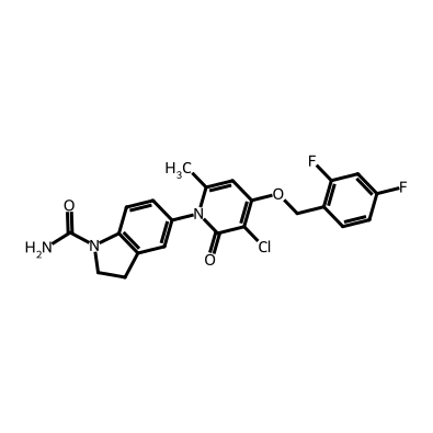 Cc1cc(OCc2ccc(F)cc2F)c(Cl)c(=O)n1-c1ccc2c(c1)CCN2C(N)=O